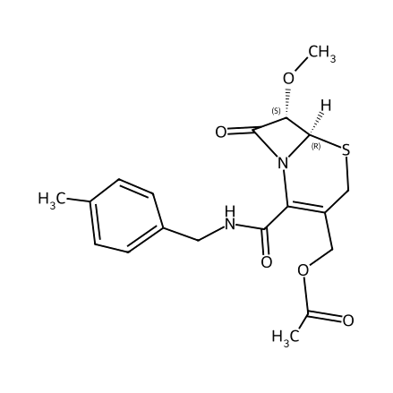 CO[C@H]1C(=O)N2C(C(=O)NCc3ccc(C)cc3)=C(COC(C)=O)CS[C@H]12